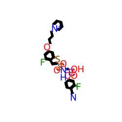 N#Cc1ccc(OP(=O)(O)CNS(=O)(=O)c2cc3c(F)cc(OCCCC[n+]4ccccc4)cc3s2)cc1F